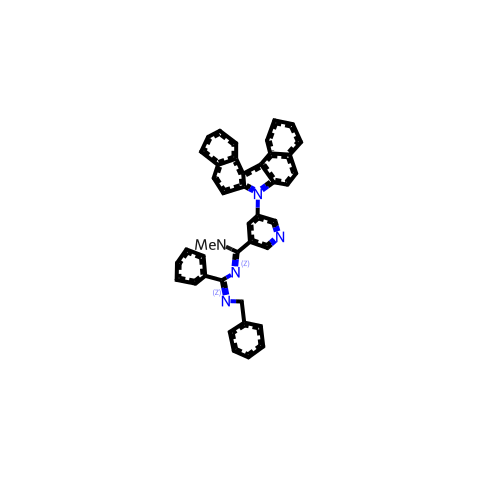 CN/C(=N\C(=N/Cc1ccccc1)c1ccccc1)c1cncc(-n2c3ccc4ccccc4c3c3c4ccccc4ccc32)c1